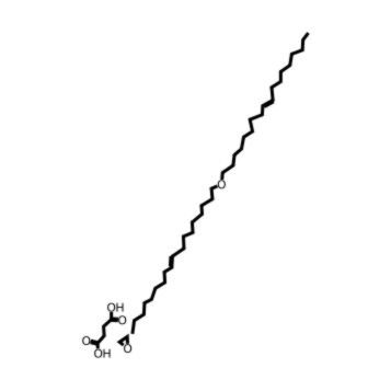 C1CO1.CCCCCCCCC=CCCCCCCCCOCCCCCCCCC=CCCCCCCCC.O=C(O)CCC(=O)O